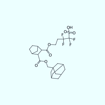 O=C(OCCC(F)(F)C(F)(F)S(=O)(=O)O)C1C2CCC(C2)C1C(=O)OCC12CC3CC(CC(C3)C1)C2